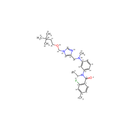 CC(C)CN(C(=O)c1ccc(C(F)(F)F)cc1F)c1cccc(N(C)Cc2cn(COCC[Si](C)(C)C)cn2)c1